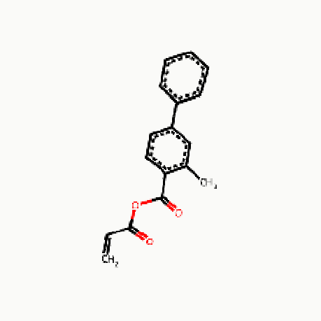 C=CC(=O)OC(=O)c1ccc(-c2ccccc2)cc1C